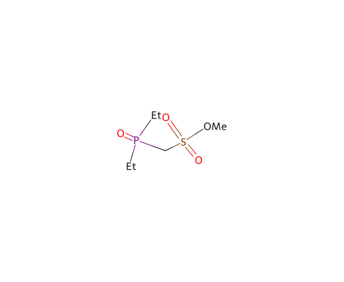 CCP(=O)(CC)CS(=O)(=O)OC